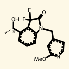 COc1cc(CN2C(=O)C(F)(F)c3c([C@H](C)O)cccc32)ccn1